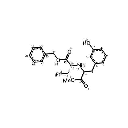 COC(=O)C(Cc1cccc(O)c1)N[C@H](CC(C)C)C(=O)OCc1ccccc1